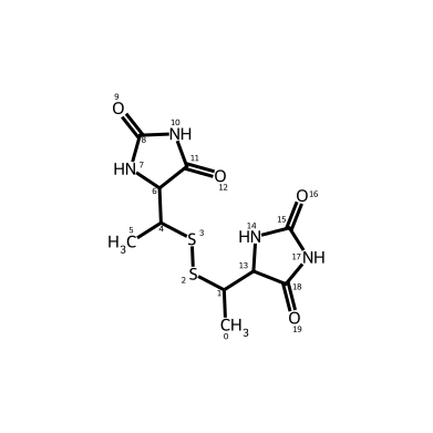 CC(SSC(C)C1NC(=O)NC1=O)C1NC(=O)NC1=O